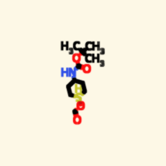 CC(C)(C)OC(=O)NC1CC[SH](OC=O)CC1